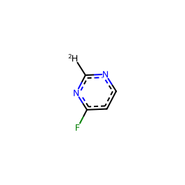 [2H]c1nccc(F)n1